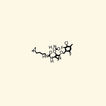 Cc1cc(F)c(COc2nsc(NC(=O)NCCCCN(C)C)c2OC(N)=O)c(F)c1Cl